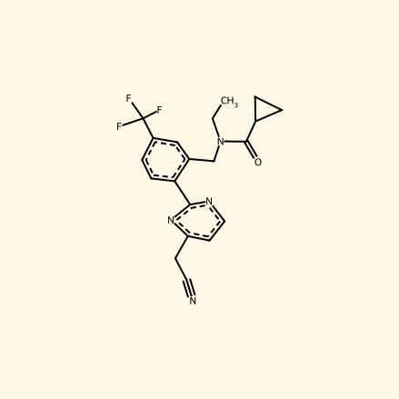 CCN(Cc1cc(C(F)(F)F)ccc1-c1nccc(CC#N)n1)C(=O)C1CC1